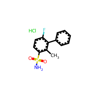 Cc1c(S(N)(=O)=O)ccc(F)c1-c1ccccc1.Cl